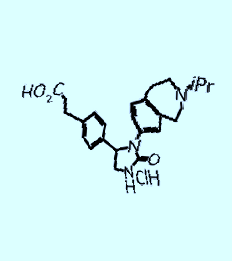 CC(C)N1CCc2ccc(N3C(=O)NCC3c3ccc(CCC(=O)O)cc3)cc2CC1.Cl